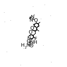 Cc1cc2c(C)c(Cc3ccnc(NS(N)(=O)=O)c3F)c(=O)oc2cc1Oc1nccn1C